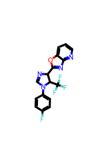 Fc1ccc(N2C=NC(c3nc4ncccc4o3)C2C(F)(F)F)cc1